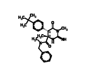 CN(Cc1ccccc1)C(=O)[C@@]1(C)NC(=N)N(C)C(=O)[C@H]1c1ccc(C(C)(C)C)cc1